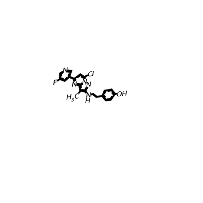 Cc1c(NCCc2ccc(O)cc2)nn2c(Cl)cc(-c3cncc(F)c3)nc12